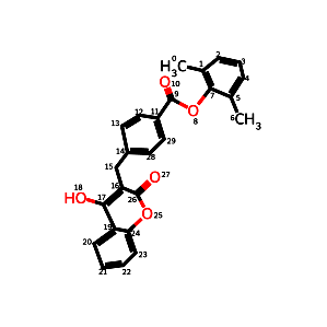 Cc1cccc(C)c1OC(=O)c1ccc(Cc2c(O)c3ccccc3oc2=O)cc1